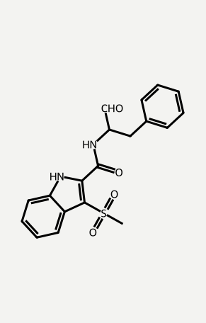 CS(=O)(=O)c1c(C(=O)NC(C=O)Cc2ccccc2)[nH]c2ccccc12